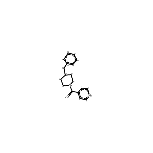 O=C(c1[c]cncc1)N1CCC(Cc2ccccc2)CC1